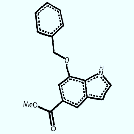 COC(=O)c1cc(OCc2ccccc2)c2[nH]ccc2c1